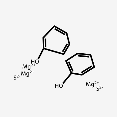 Oc1ccccc1.Oc1ccccc1.[Mg+2].[Mg+2].[Mg+2].[S-2].[S-2]